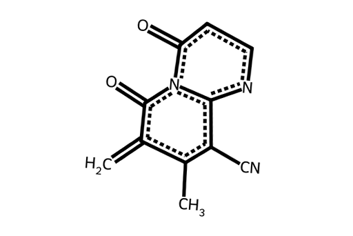 C=c1c(C)c(C#N)c2nccc(=O)n2c1=O